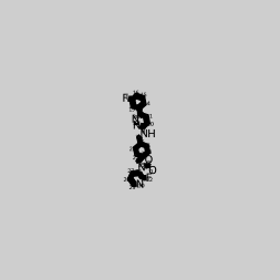 O=C1OC2(CCC(CNc3ccc(-c4cccc(F)c4)nn3)CC2)CN1c1cccnc1F